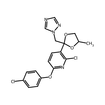 CC1COC(Cn2cncn2)(c2ccc(Oc3ccc(Cl)cc3)nc2Cl)O1